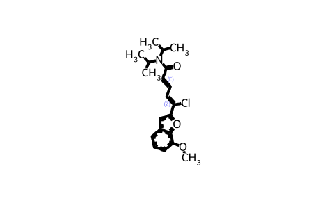 COc1cccc2cc(/C(Cl)=C/C=C/C(=O)N(C(C)C)C(C)C)oc12